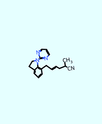 CC(C#N)C/C=C/Cc1cccc2c1N(c1ncccn1)CC2